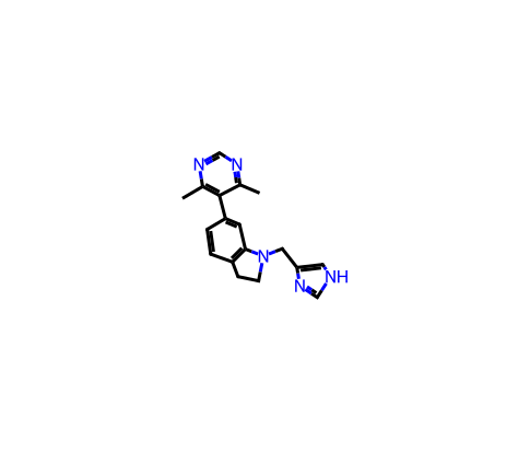 Cc1ncnc(C)c1-c1ccc2c(c1)N(Cc1c[nH]cn1)CC2